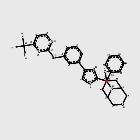 OC1(c2ncc(-c3cccc(Nc4nccc(C(F)(F)F)n4)c3)s2)CC2COCC(C1)N2Cc1ccccc1